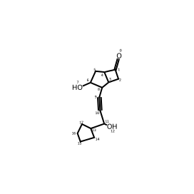 O=C1CC2C1CC(O)C2C#CC(O)C1CCCC1